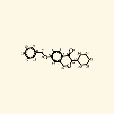 O=C1c2ccc(OCc3ccccc3)cc2COC1C1CCCCC1